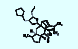 CC(C)C1=CC2CC3(C=O)[C@@H]4CC[C@@H](C)[C@H]4CC2([C@H]2C[C@H](CC4CCCC4)[C@H](CI)O2)[C@]13C(=O)O